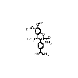 CCOc1cc(OCC(N)=O)c(C(Nc2ccc(C(=N)N)cc2)C(=O)O)cc1OCC